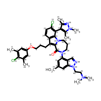 Cc1cc(OCCCc2c3n(c4c(-c5c(C)nn(C)c5C)c(Cl)ccc24)CCCN(c2cc(C(=O)O)cc4c2cnn4CCN(C)C)C3=O)cc(C)c1Cl